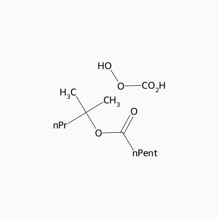 CCCCCC(=O)OC(C)(C)CCC.O=C(O)OO